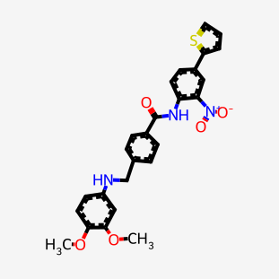 COc1ccc(NCc2ccc(C(=O)Nc3ccc(-c4cccs4)cc3[N+](=O)[O-])cc2)cc1OC